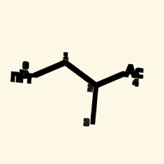 [CH2]CCCC(C)C(C)=O